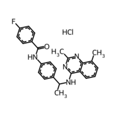 Cc1nc(NC(C)c2ccc(NC(=O)c3ccc(F)cc3)cc2)c2cccc(C)c2n1.Cl